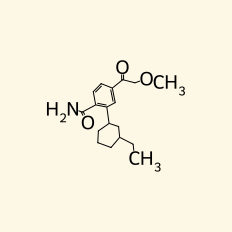 CCC1CCCC(c2cc(C(=O)COC)ccc2C(N)=O)C1